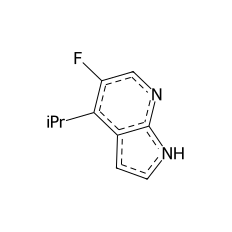 CC(C)c1c(F)cnc2[nH]ccc12